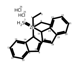 C[CH2][Zr](=[SiH2])([CH2]C)([CH]1C=Cc2ccccc21)[CH]1C(C)=Cc2ccccc21.Cl.Cl